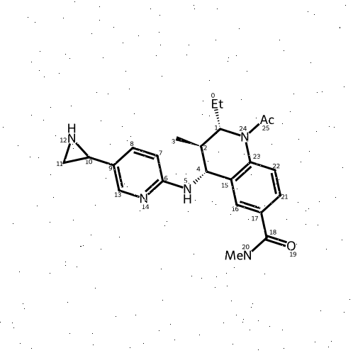 CC[C@H]1[C@H](C)[C@@H](Nc2ccc(C3CN3)cn2)c2cc(C(=O)NC)ccc2N1C(C)=O